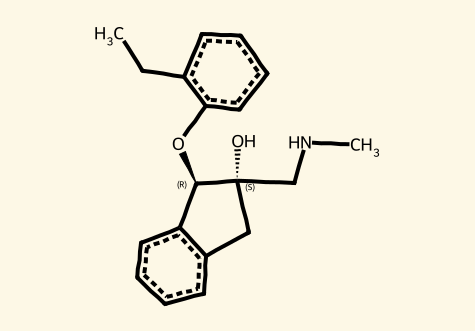 CCc1ccccc1O[C@@H]1c2ccccc2C[C@]1(O)CNC